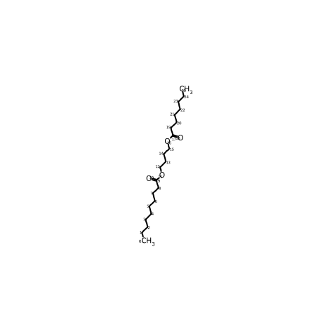 CCCCCCCCCC(=O)OCCCCOC(=O)CCCCCCC